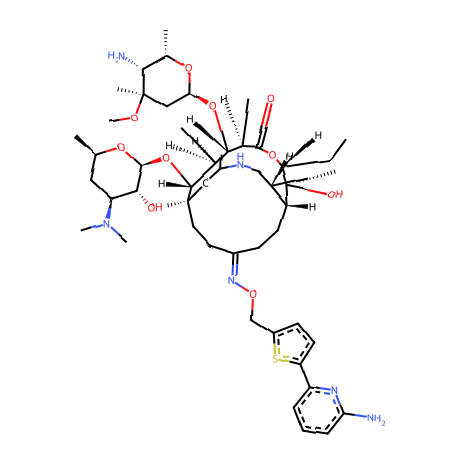 CC[C@H]1OC(=O)[C@H](C)[C@@H](O[C@H]2C[C@@](C)(OC)[C@H](N)[C@H](C)O2)[C@H](C)[C@@H](O[C@@H]2O[C@H](C)C[C@H](N(C)C)[C@H]2O)[C@]2(C)CC/C(=N/OCc3ccc(-c4cccc(N)n4)s3)CC[C@H]([C@@H](C)CN[C@H](C)C2)[C@]1(C)O